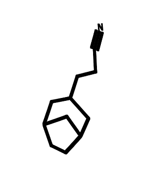 N#CCCC1CC2CCC(C1)C2